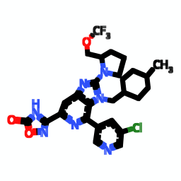 CC1CCC(Cn2c(N3CCCC3COC(F)(F)F)nc3cc(-c4noc(=O)[nH]4)nc(-c4cncc(Cl)c4)c32)CC1